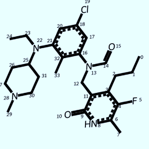 CCCc1c(F)c(C)[nH]c(=O)c1CN(C=O)c1cc(Cl)cc(N(CC)C2CCN(C)CC2)c1C